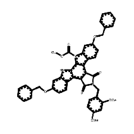 COc1ccc(CN2C(=O)c3c(c4c5ccc(OCc6ccccc6)cc5n(C(=O)OC(C)(C)C)c4c4[nH]c5cc(OCc6ccccc6)ccc5c34)C2=O)c(OC)c1